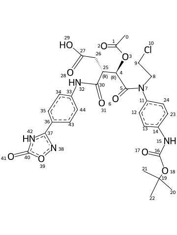 CC(=O)O[C@@H](C(=O)N(CCCl)c1ccc(NC(=O)OC(C)(C)C)cc1)[C@@H](CC(=O)O)C(=O)Nc1ccc(-c2noc(=O)[nH]2)cc1